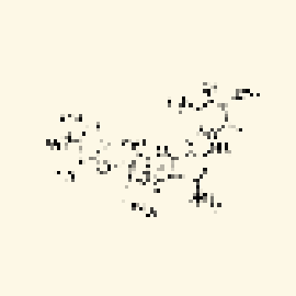 CC1O[C@H](O[C@@H]2C(O)[C@H](O[C@@H]3C(O)[C@H](N)CC(N)[C@H]3O[C@H]3OC(C)[C@@H](O)[C@H](O)C3N)O[C@@H]2CO)[C@H](N)C(O)[C@@H]1O